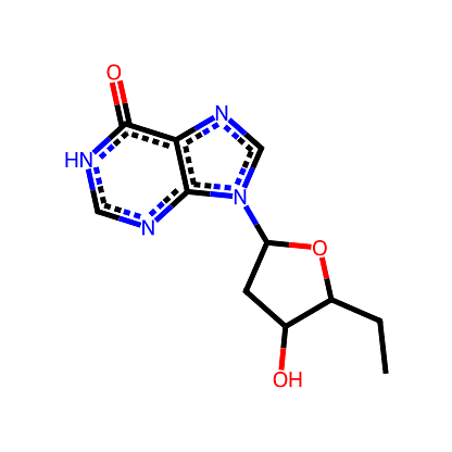 CCC1OC(n2cnc3c(=O)[nH]cnc32)CC1O